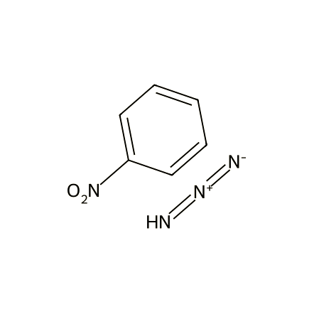 O=[N+]([O-])c1ccccc1.[N-]=[N+]=N